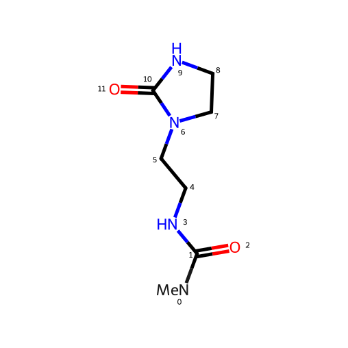 CNC(=O)NCCN1CCNC1=O